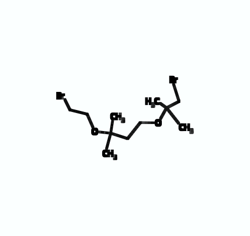 CC(C)(CBr)OCCC(C)(C)OCCBr